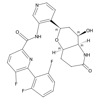 O=C1CC[C@H]2O[C@@H](c3ccncc3NC(=O)c3ccc(F)c(-c4c(F)cccc4F)n3)C[C@@H](O)[C@H]2N1